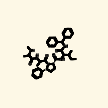 CCC(C)C(NC(=O)[C@@H]1CC[C@H](c2ccccc2)N1C(=O)C(C)NC(=O)C(C)NC)C(=O)NC(c1ccccc1)c1ccccc1